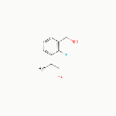 [CH2]C(CO)c1cccc(CO)c1F